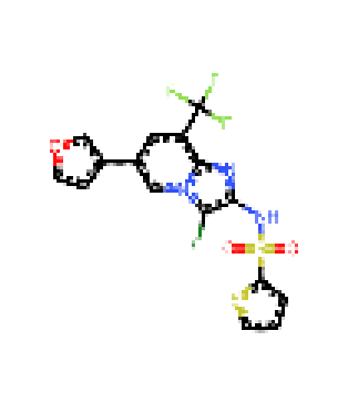 O=S(=O)(Nc1nc2c(C(F)(F)F)cc(-c3ccoc3)cn2c1Cl)c1cccs1